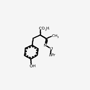 CCCON=C(C)C(Cc1ccc(O)cc1)C(=O)O